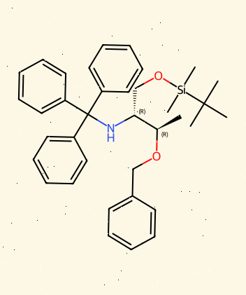 C[C@@H](OCc1ccccc1)[C@@H](CO[Si](C)(C)C(C)(C)C)NC(c1ccccc1)(c1ccccc1)c1ccccc1